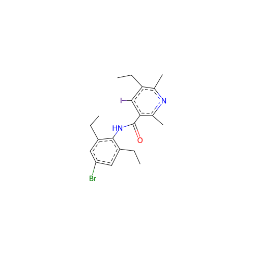 CCc1cc(Br)cc(CC)c1NC(=O)c1c(C)nc(C)c(CC)c1I